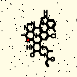 C=CC(=O)N1CC2C(=O)Nc3c(c4cc(Cl)c(-c5c(C)ccc6[nH]cnc56)c(F)c4n(-c4c(C(C)C)ncnc4C(C)C)c3=O)N2CC1C